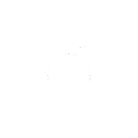 NC(=O)c1cncccncccoccnccn1